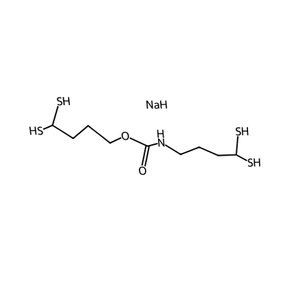 O=C(NCCCC(S)S)OCCCC(S)S.[NaH]